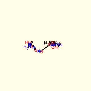 Cc1ncsc1-c1ccc(C(C)NC(=O)C2CC(O)CN2C(=O)C(NC(=O)CCCCCCCCCCCCC(=O)N2CCN(CCOc3ccc(N4CCCC(Oc5cc(-c6ccccc6O)nnc5N)C4)cc3)CC2)C(C)(C)C)cc1